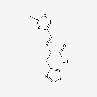 Cc1cc(/C=N/C(Cc2cscn2)C(=O)O)no1